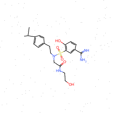 CC(C)c1ccc(CCN(CC(=O)NCCO)S(=O)(=O)c2cc(C(=N)N)ccc2O)cc1